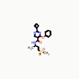 CC(/C=C/S(C)(=O)=O)NC(=O)c1cnc(C23CC(C2)C3)nc1Oc1ccccc1